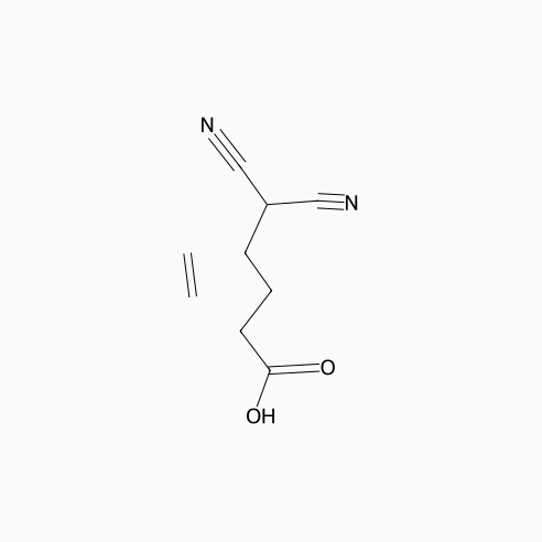 C=C.N#CC(C#N)CCCC(=O)O